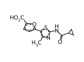 Cc1nc(NC(=O)C2CC2)sc1-c1ccc(C(=O)O)o1